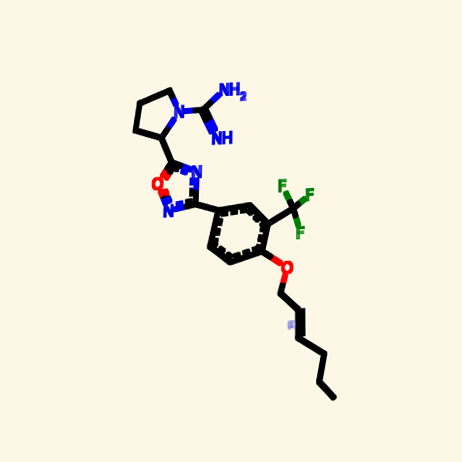 CCC/C=C/COc1ccc(-c2noc(C3CCCN3C(=N)N)n2)cc1C(F)(F)F